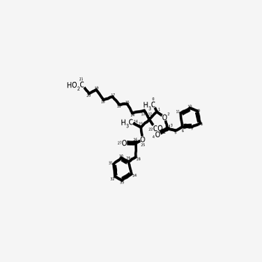 CC(OC(=O)Cc1ccccc1)C(CCCCCCCCC(=O)O)(C(=O)O)C(C)OC(=O)Cc1ccccc1